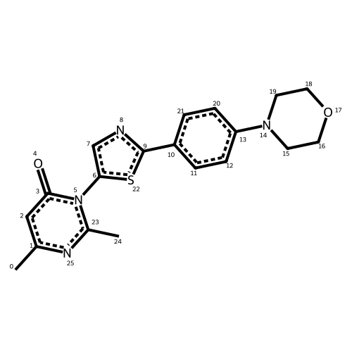 Cc1cc(=O)n(-c2cnc(-c3ccc(N4CCOCC4)cc3)s2)c(C)n1